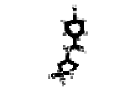 O=C(OC1COS(=O)(=O)C1)c1ccc(F)cc1